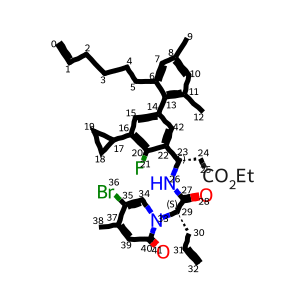 C=CCCCCc1cc(C)cc(C)c1-c1cc(C2CC2)c(F)c([C@H](CC(=O)OCC)NC(=O)[C@H](CC=C)n2cc(Br)c(C)cc2=O)c1